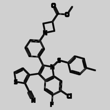 COC(=O)C1CN(c2cccc(-c3c(-c4ccsc4C#N)c4cc(F)c(Cl)cc4n3Sc3ccc(C)cc3)c2)C1